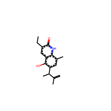 C=C(C)C(C)c1cc(C)c2[nH]c(=O)c(CC)cc2c1O